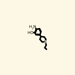 CCCN1CCC(c2ccc(N)c(O)c2)CC1